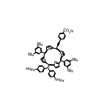 CCCCCCc1ccc(N(c2ccc(CCCCCC)cc2)c2c3nc(c(-c4cc(C(C)(C)C)cc(C(C)(C)C)c4)c4ccc([nH]4)c(C#Cc4ccc(C(=O)O)cc4)c4nc(c(-c5cc(C(C)(C)C)cc(C(C)(C)C)c5)c5ccc2[nH]5)C=C4)C=C3)cc1